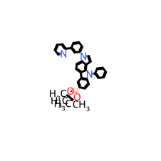 CC1(C)OB(c2ccc3c(c2)c2ccc4c(ccn4-c4cccc(-c5ccccn5)c4)c2n3-c2ccccc2)OC1(C)C